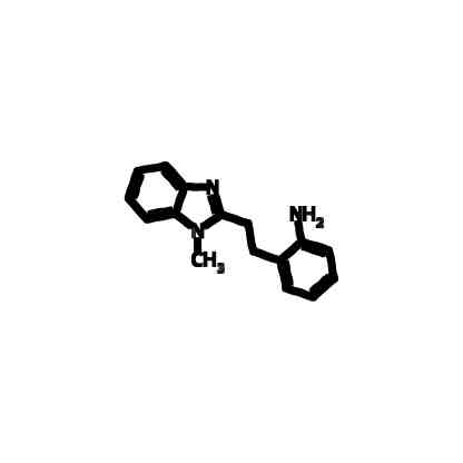 Cn1c(CCc2ccccc2N)nc2ccccc21